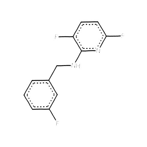 Fc1cccc(CNc2nc(F)ccc2F)c1